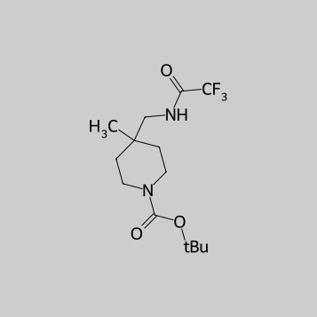 CC1(CNC(=O)C(F)(F)F)CCN(C(=O)OC(C)(C)C)CC1